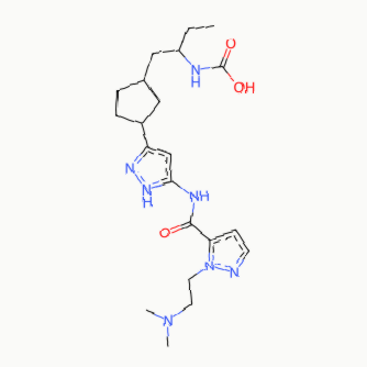 CCC(CC1CCC(c2cc(NC(=O)c3ccnn3CCN(C)C)[nH]n2)C1)NC(=O)O